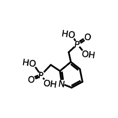 O=P(O)(O)Cc1cccnc1CP(=O)(O)O